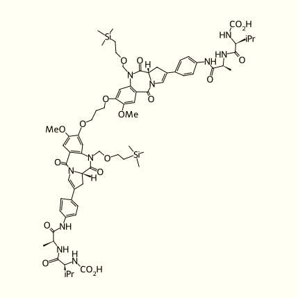 COc1cc2c(cc1OCCCOc1cc3c(cc1OC)C(=O)N1C=C(c4ccc(NC(=O)[C@H](C)NC(=O)[C@@H](NC(=O)O)C(C)C)cc4)C[C@H]1C(=O)N3COCC[Si](C)(C)C)N(COCC[Si](C)(C)C)C(=O)[C@@H]1CC(c3ccc(NC(=O)[C@H](C)NC(=O)[C@@H](NC(=O)O)C(C)C)cc3)=CN1C2=O